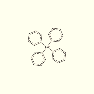 c1cc[c]([Ga-]([c]2ccccc2)([c]2ccccc2)[c]2ccccc2)cc1